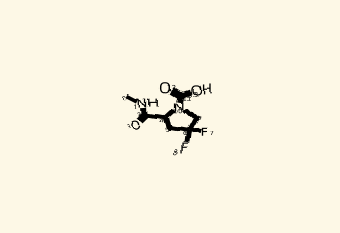 CNC(=O)C1CC(F)(F)CN1C(=O)O